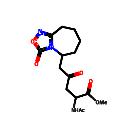 COC(=O)C(CC(=O)CC1CCCCc2noc(=O)n21)NC(C)=O